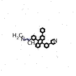 C=C/N=C\C=C(/C)c1cccc(-c2c3ccccc3c(-c3cccc(-c4ccncc4)c3)c3ccc(-c4ccccc4)cc23)c1